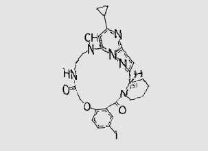 CN1CCNC(=O)COc2ccc(I)cc2C(=O)N2CCCC[C@H]2c2cc3nc(C4CC4)cc1n3n2